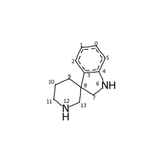 c1ccc2c(c1)NCC21CCCNC1